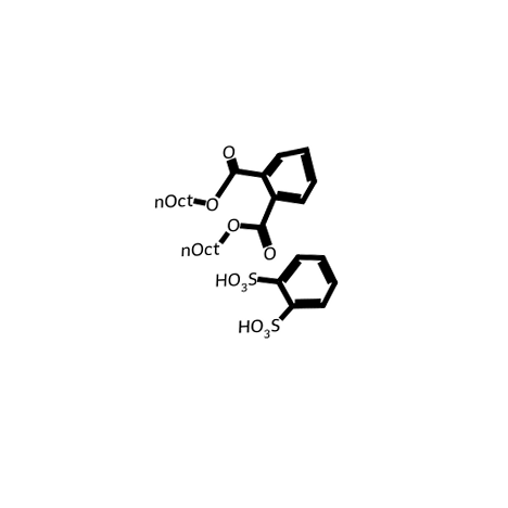 CCCCCCCCOC(=O)c1ccccc1C(=O)OCCCCCCCC.O=S(=O)(O)c1ccccc1S(=O)(=O)O